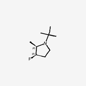 C[C@@H]1[C@H](F)CCN1C(C)(C)C